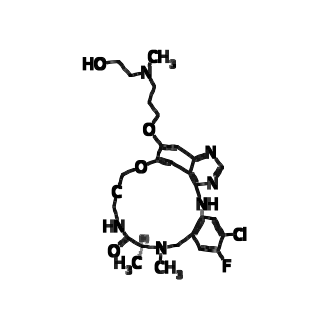 C[C@@H]1C(=O)NCCCOc2cc3c(ncnc3cc2OCCCN(C)CCO)Nc2cc(Cl)c(F)cc2CN1C